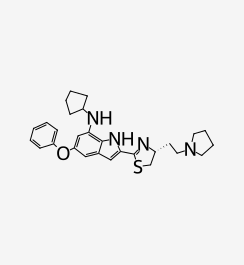 c1ccc(Oc2cc(NC3CCCC3)c3[nH]c(C4=N[C@H](CCN5CCCC5)CS4)cc3c2)cc1